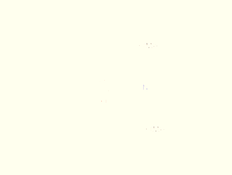 COc1ccc2c(C(=O)Oc3ccccc3)c3ccc(OC)cc3nc2c1